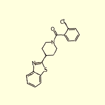 O=C(c1ccccc1Cl)N1CCC(c2nc3ccccc3s2)CC1